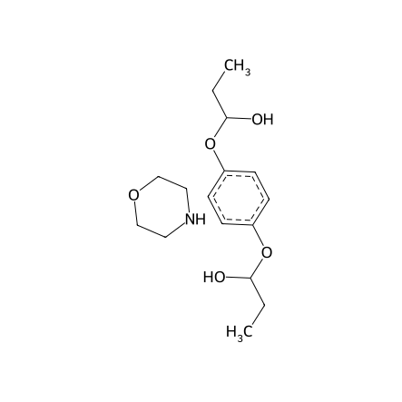 C1COCCN1.CCC(O)Oc1ccc(OC(O)CC)cc1